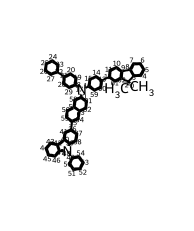 CC1(C)c2ccccc2-c2ccc(-c3ccc(N(c4ccc(-c5ccccc5)cc4)c4ccc5cc(-c6ccc7c(c6)c6ccccc6n7-c6ccccc6)ccc5c4)cc3)cc21